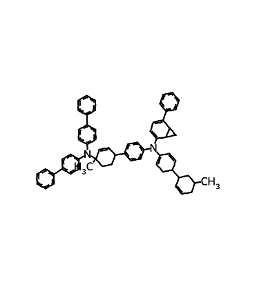 CC1CC=CC(C2C=CC(N(C3=CC=C(c4ccccc4)C4CC34)c3ccc(C4C=CC(C)(N(c5ccc(-c6ccccc6)cc5)c5ccc(-c6ccccc6)cc5)CC4)cc3)=CC2)C1